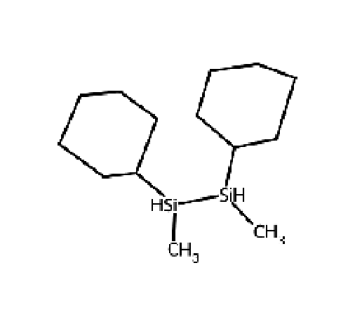 C[SiH](C1CCCCC1)[SiH](C)C1CCCCC1